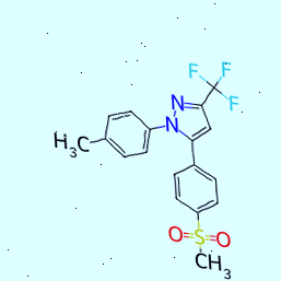 Cc1ccc(-n2nc(C(F)(F)F)cc2-c2ccc(S(C)(=O)=O)cc2)cc1